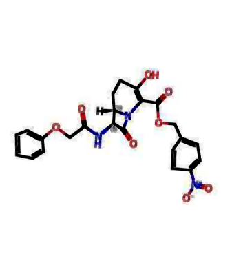 O=C(COc1ccccc1)N[C@@H]1C(=O)N2C(C(=O)OCc3ccc([N+](=O)[O-])cc3)=C(O)CC[C@@H]12